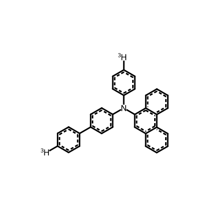 [3H]c1ccc(-c2ccc(N(c3ccc([3H])cc3)c3cc4ccccc4c4ccccc34)cc2)cc1